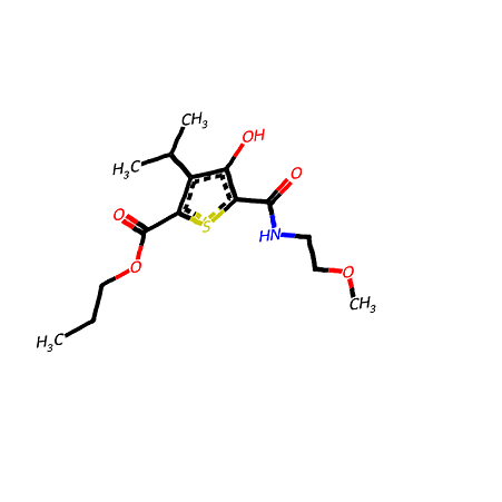 CCCOC(=O)c1sc(C(=O)NCCOC)c(O)c1C(C)C